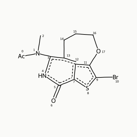 CC(=O)N(C)c1[nH]c(=O)c2sc(Br)c3c2c1CCCO3